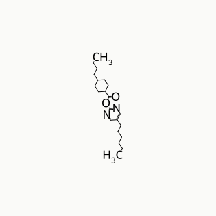 CCCCCCc1cnc(OC(=O)C2CCC(CCCC)CC2)nc1